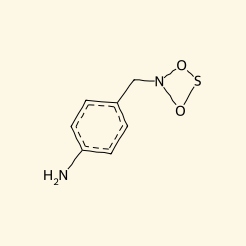 Nc1ccc(CN2OSO2)cc1